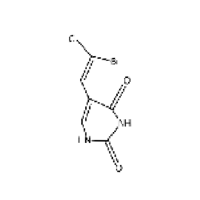 O=c1[nH]cc(C=C(Cl)Br)c(=O)[nH]1